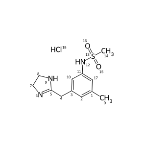 Cc1cc(CC2=NCCN2)cc(NS(C)(=O)=O)c1.Cl